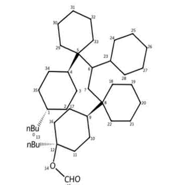 CCCC[C@H]1CC[C@H](C2(C(CC3([C@H]4CC[C@@](CCCC)(OC=O)CC4)CCCCC3)C3CCCCC3)CCCCC2)CC1